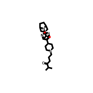 CC(C)C(=O)CCCN1CCC(c2cnc(N3C4CCC3CN(C(C)C)C4)nc2)CC1